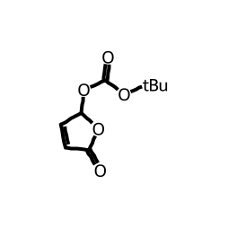 CC(C)(C)OC(=O)OC1C=CC(=O)O1